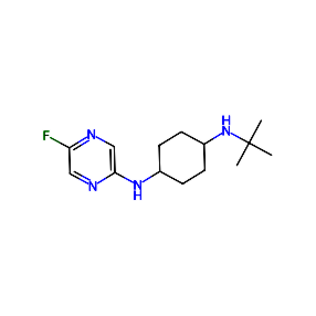 CC(C)(C)NC1CCC(Nc2cnc(F)cn2)CC1